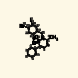 CC1=CC=C(c2ccccc2)S(=O)(=O)N1Cc1cc(F)c(Br)cc1F